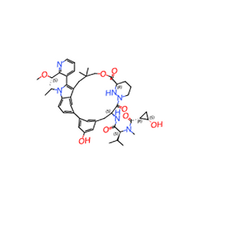 CCn1c(-c2cccnc2[C@H](C)OC)c2c3cc(ccc31)-c1cc(O)cc(c1)C[C@H](NC(=O)[C@H](C(C)C)N(C)C(=O)[C@@H]1C[C@@H]1O)C(=O)N1CCC[C@](C=O)(COCC(C)(C)C2)N1